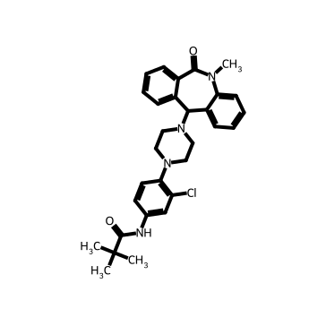 CN1C(=O)c2ccccc2C(N2CCN(c3ccc(NC(=O)C(C)(C)C)cc3Cl)CC2)c2ccccc21